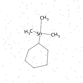 [CH3][Sn]([CH3])([CH3])[CH]1CCCCC1